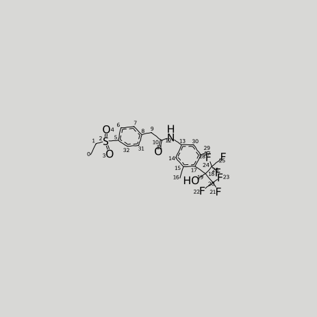 CCS(=O)(=O)c1ccc(CC(=O)Nc2cc(C)c(C(O)(C(F)(F)F)C(F)(F)F)c(C)c2)cc1